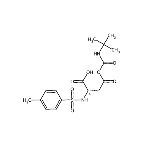 Cc1ccc(S(=O)(=O)N[C@@H](CC(=O)OC(=O)NC(C)(C)C)C(=O)O)cc1